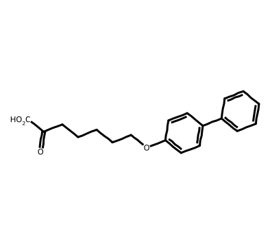 O=C(O)C(=O)CCCCCOc1ccc(-c2ccccc2)cc1